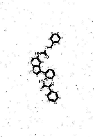 O=C(Nc1cnc2[nH]cc(-c3ccccc3NC(=O)C(=O)c3ccccc3)c2c1)OCc1ccccc1